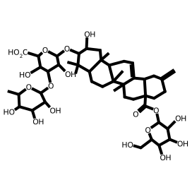 C=C1CCC2(C(=O)OC3OC(CO)C(O)C(O)C3O)CCC3(C)C(=CCC4C5(C)CC(O)C(OC6OC(C(=O)O)C(O)C(OC7OC(C)C(O)C(O)C7O)C6O)C(C)(C)C5CCC43C)C2C1